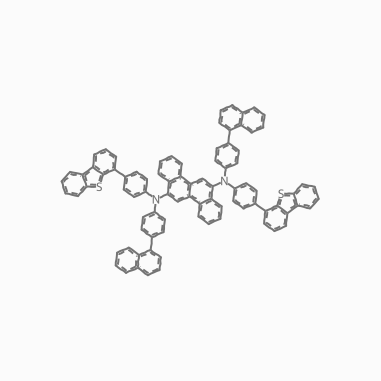 c1ccc2c(-c3ccc(N(c4ccc(-c5cccc6c5sc5ccccc56)cc4)c4cc5c6ccccc6c(N(c6ccc(-c7cccc8ccccc78)cc6)c6ccc(-c7cccc8c7sc7ccccc78)cc6)cc5c5ccccc45)cc3)cccc2c1